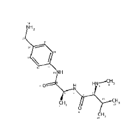 CN[C@H](C(=O)N[C@@H](C)C(=O)Nc1ccc(CN)cc1)C(C)C